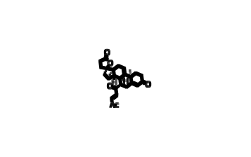 CC(=O)/C=C/C(=O)[C@@H]1CC2=CC(=O)CC[C@]2(C)C2=CC[C@@]3(C)[C@@H](CC[C@@]34CCC(=O)O4)[C@@H]21